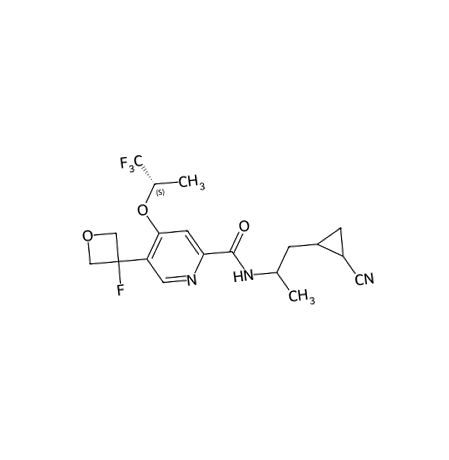 CC(CC1CC1C#N)NC(=O)c1cc(O[C@@H](C)C(F)(F)F)c(C2(F)COC2)cn1